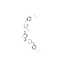 C=C(c1ccc(C(=O)NC2CCN(Cc3ccc(C#N)cc3)CC2)cn1)N1CCC(C(=O)c2ccc(OC)cc2)CC1